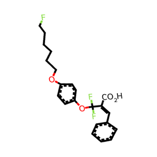 O=C(O)/C(=C/c1ccccc1)C(F)(F)Oc1ccc(OCCCCCCF)cc1